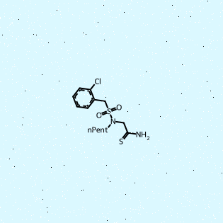 CCCCCN(CC(N)=S)S(=O)(=O)Cc1ccccc1Cl